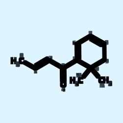 C/C=C/C(=O)C1=CC=CCC1(C)C